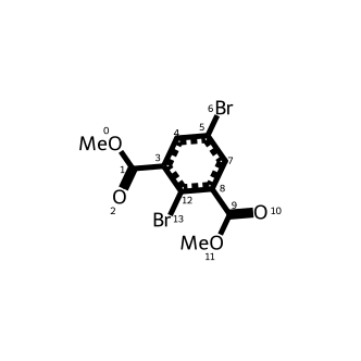 COC(=O)c1cc(Br)cc(C(=O)OC)c1Br